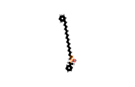 CC(C)(c1ccccc1)[PH](=O)CCCCCCCCCCCCCCCCCCc1ccccc1